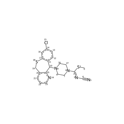 CSC(=NC#N)N1CCN(C2c3ccc(Cl)cc3SCc3cccnc32)CC1